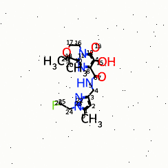 Cc1cc(CNC(=O)c2nc3n(c(=O)c2O)CCOC3(C)C)nn1CCF